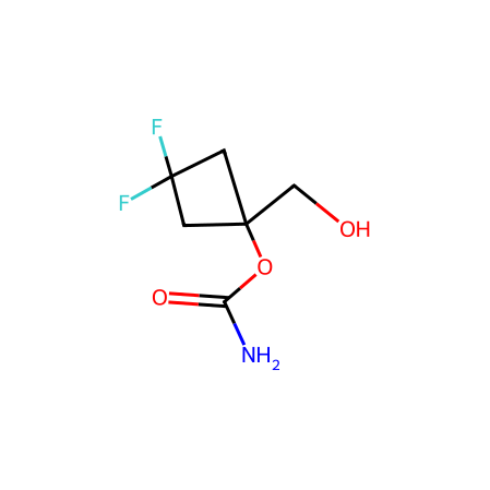 NC(=O)OC1(CO)CC(F)(F)C1